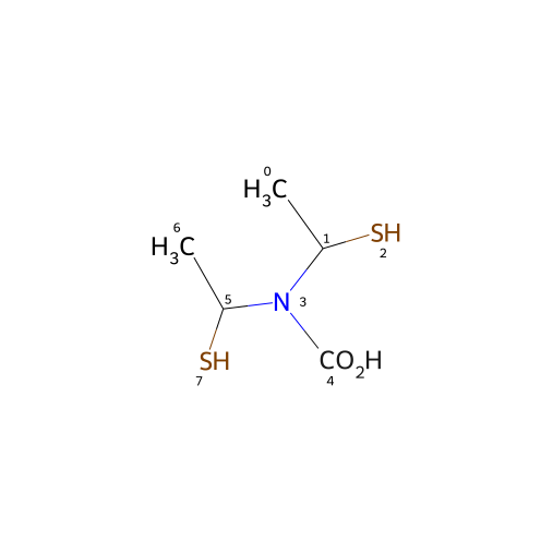 CC(S)N(C(=O)O)C(C)S